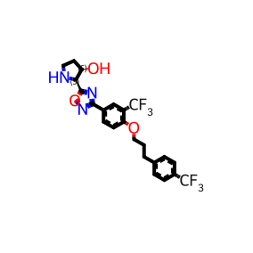 O[C@H]1CCN[C@@H]1c1nc(-c2ccc(OCCCc3ccc(C(F)(F)F)cc3)c(C(F)(F)F)c2)no1